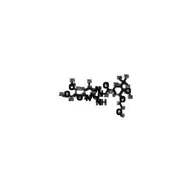 COCCOc1cc(C(=O)Cn2nc3c(C)cc(OC(COC)COC)nn3c2=N)cc(C(C)(C)C)c1OC